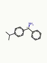 CC(C)c1ccc([C@@H](N)c2ccccc2)cc1